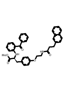 COC(=O)[C@H](Cc1ccc(OCCNC(=O)CCc2ccc3ccccc3c2)cc1)Nc1ccccc1C(=O)c1ccccc1